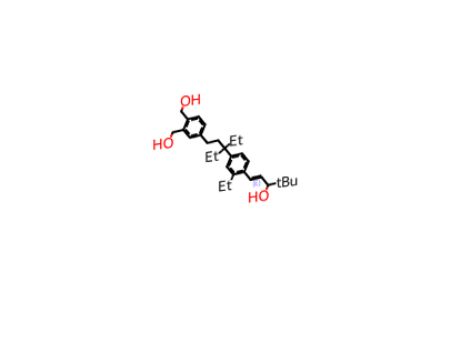 CCc1cc(C(CC)(CC)CCc2ccc(CO)c(CO)c2)ccc1/C=C/C(O)C(C)(C)C